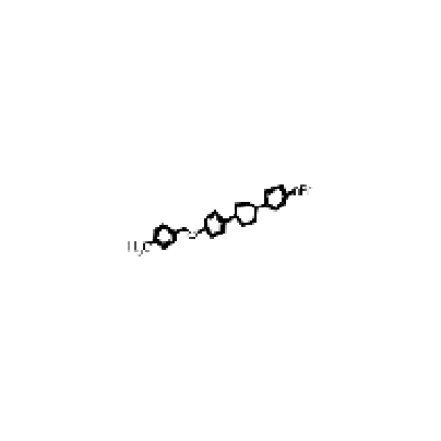 CCCc1ccc(C2C=CC(c3ccc(OCc4ccc(C)cc4)cc3)CC2)cc1